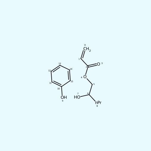 C=CC(=O)OCC(O)CCC.Oc1ccccc1